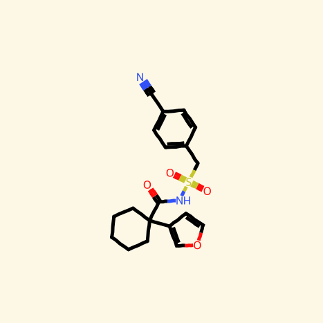 N#Cc1ccc(CS(=O)(=O)NC(=O)C2(c3ccoc3)CCCCC2)cc1